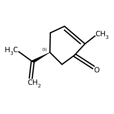 C=C(C)[C@H]1CC=C(C)C(=O)C1